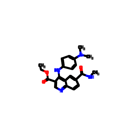 CCOC(=O)c1cnc2ccc(C(=O)NC)cc2c1Nc1ccc(N(C)C)cc1